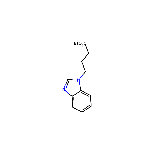 CCOC(=O)CCCn1cnc2ccccc21